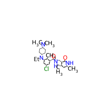 CCN(c1cc(Cl)cc(C(=O)NCc2c(C)cc(C)[nH]c2=O)c1C)[C@H]1CC[C@H](N(C)C)CC1